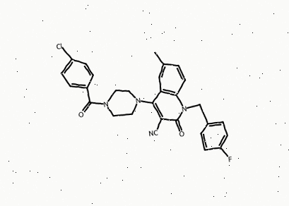 Cc1ccc2c(c1)c(N1CCN(C(=O)c3ccc(Cl)cc3)CC1)c(C#N)c(=O)n2Cc1ccc(F)cc1